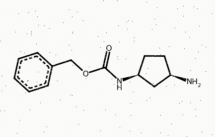 N[C@@H]1CC[C@H](NC(=O)OCc2ccccc2)C1